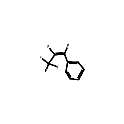 F/C(=C(\F)C(F)(F)F)c1ccccc1